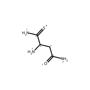 NC(=O)CC(N)C(N)=S